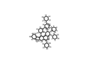 c1ccc(-c2cccc(-c3nc(-c4ccccc4)cc(-c4cccc(-c5c6c(cc7c(-c8ccccc8)nc8ccccc8c57)oc5ccccc56)c4)n3)c2)cc1